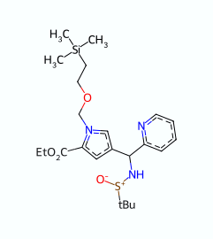 CCOC(=O)c1cc(C(N[S+]([O-])C(C)(C)C)c2ccccn2)cn1COCC[Si](C)(C)C